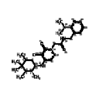 C[C@@H]1[C@@H](C)C(C)(C)[C@@H](C)C[C@H]1Nc1cnn(CC(=O)NCc2ccnnc2N(C)C)c(=O)c1Cl